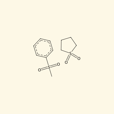 CS(=O)(=O)c1ccccc1.O=S1(=O)CCCC1